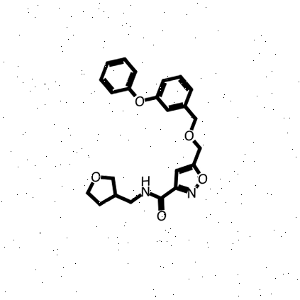 O=C(NCC1CCOC1)c1cc(COCc2cccc(Oc3ccccc3)c2)on1